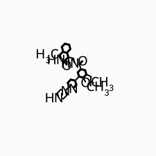 Cc1[nH]c(=O)c(CNC(=O)c2cc3c(c(-c4ccc(N5CCNCC5)nc4)c2)OC(C)(C)C3)c2ccccc12